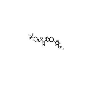 Cc1nnc(-c2ccc3cnc(NC(=O)CN4CCC(C(F)(F)F)CC4)cc3c2)s1